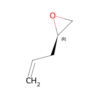 C=CC[C@@H]1CO1